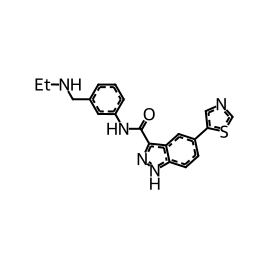 CCNCc1cccc(NC(=O)c2n[nH]c3ccc(-c4cncs4)cc23)c1